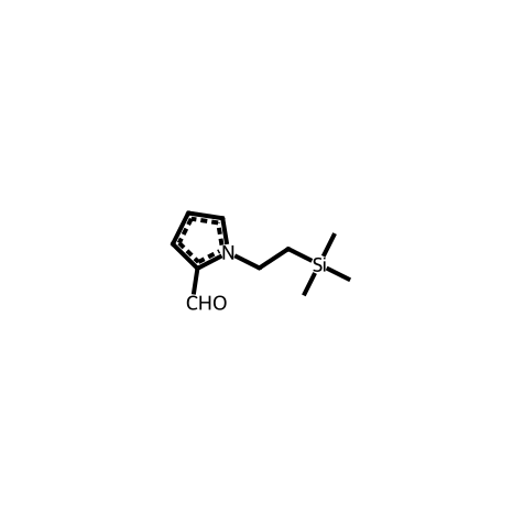 C[Si](C)(C)CCn1cccc1C=O